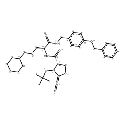 CC(C)(C)ON1C(=C=O)SC[C@H]1C(=O)N[C@@H](CSCC1CCCCC1)C(=O)NCc1ccc(OCc2ccccc2)cc1